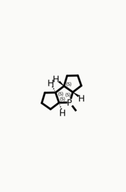 CP1[C@H]2CCC[C@H]2[C@@H]2CCC[C@@H]21